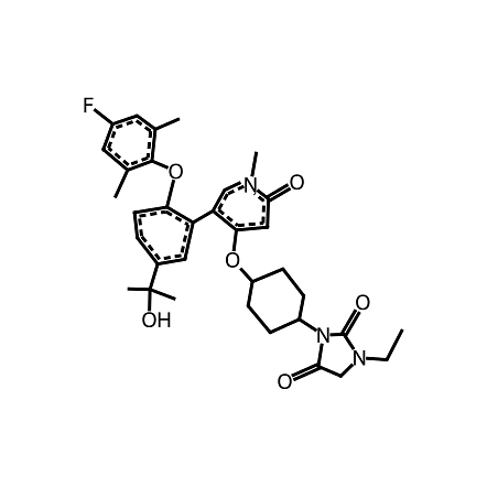 CCN1CC(=O)N(C2CCC(Oc3cc(=O)n(C)cc3-c3cc(C(C)(C)O)ccc3Oc3c(C)cc(F)cc3C)CC2)C1=O